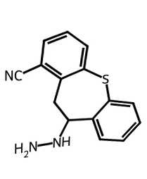 N#Cc1cccc2c1CC(NN)c1ccccc1S2